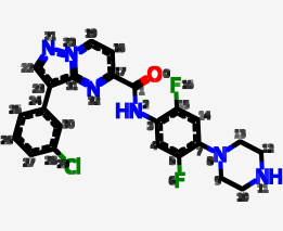 O=C(Nc1cc(F)c(N2CCNCC2)cc1F)c1ccn2ncc(-c3cccc(Cl)c3)c2n1